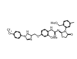 COCc1ccc(C)cc1N1C(=O)CS/C1=N\C(=O)Nc1ccc(OCC2N=CN(c3ccc(OC(F)(F)F)cc3)N2)cc1OC